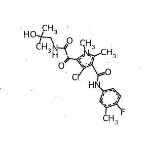 Cc1cc(NC(=O)c2c(Cl)c(C(=O)C(=O)NCC(C)(C)O)n(C)c2C)ccc1F